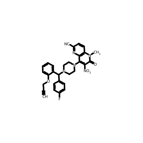 C#CCOc1ccccc1C(c1ccc(F)cc1)N1CCN(c2c([N+](=O)[O-])c(=O)n(C)c3ccc(C#N)nc23)CC1